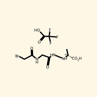 C[C@@H](NNC(=O)CNC(=O)CBr)C(=O)O.O=C(O)C(F)(F)F